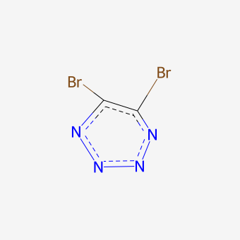 Brc1nnnnc1Br